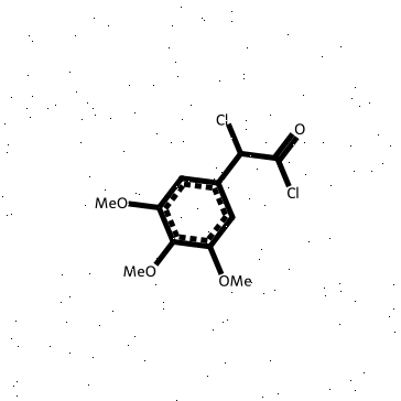 COc1cc(C(Cl)C(=O)Cl)cc(OC)c1OC